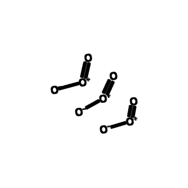 O=[O+][O-].O=[O+][O-].O=[O+][O-]